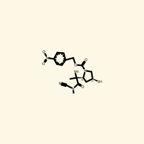 CN(C#N)C(=O)C(C)(S)[C@@H]1C[C@H](S)CN1C(=O)OCc1ccc([N+](=O)[O-])cc1